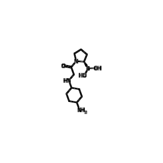 NC1CCC(NCC(=O)N2CCC[C@H]2B(O)O)CC1